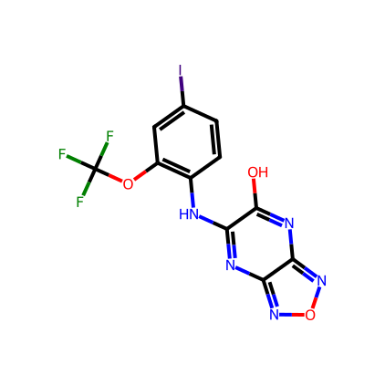 Oc1nc2nonc2nc1Nc1ccc(I)cc1OC(F)(F)F